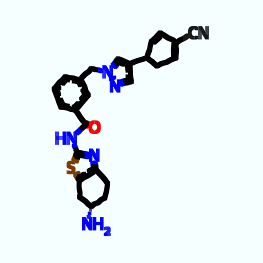 N#CC1=CCC(c2cnn(Cc3cccc(C(=O)Nc4nc5c(s4)C[C@@H](N)CC5)c3)c2)C=C1